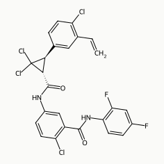 C=Cc1cc([C@H]2[C@H](C(=O)Nc3ccc(Cl)c(C(=O)Nc4ccc(F)cc4F)c3)C2(Cl)Cl)ccc1Cl